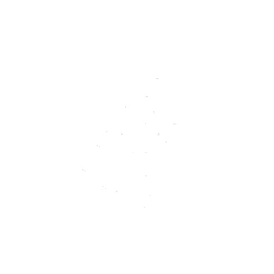 COc1ccc(CC(C)c2cnc3c(N)nc4ccccc4c3c2/C=C/C(=O)O)cc1